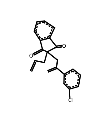 C=CCC1(CC(=C)c2cccc(Cl)c2)C(=O)c2ccccc2C1=O